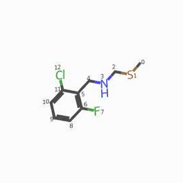 CSCNCc1c(F)cccc1Cl